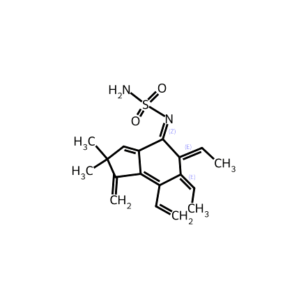 C=CC1=C2C(=C)C(C)(C)C=C2C(=N\S(N)(=O)=O)/C(=C/C)C/1=C/C